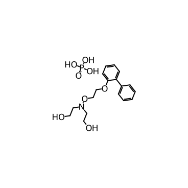 O=P(O)(O)O.OCCN(CCO)OCCOc1ccccc1-c1ccccc1